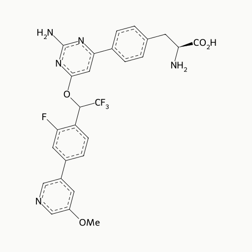 COc1cncc(-c2ccc(C(Oc3cc(-c4ccc(C[C@H](N)C(=O)O)cc4)nc(N)n3)C(F)(F)F)c(F)c2)c1